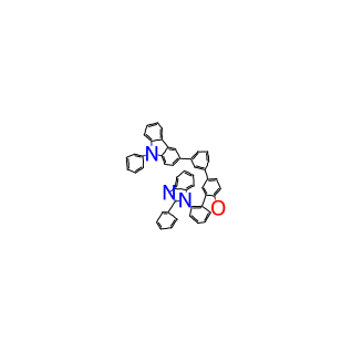 c1ccc(-c2nc3ccccc3n2-c2cccc3oc4ccc(-c5cccc(-c6ccc7c(c6)c6ccccc6n7-c6ccccc6)c5)cc4c23)cc1